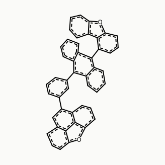 c1cc(-c2c3ccccc3c(-c3cccc4oc5ccccc5c34)c3ccccc23)cc(-c2cc3cccc4oc5cccc2c5c34)c1